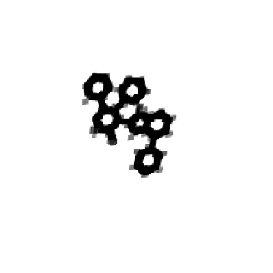 O=c1[nH]cc(-c2ccccn2)c(-c2ccccc2)c1-c1nc2c(-c3ccccc3)cccc2[nH]1